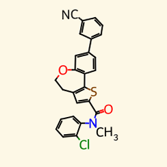 CN(C(=O)c1cc2c(s1)-c1ccc(-c3cccc(C#N)c3)cc1OCC2)c1ccccc1Cl